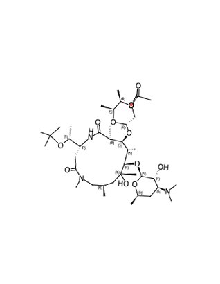 COC[C@H](O[C@H]1[C@H](C)[C@@H](O[C@@H]2O[C@H](C)C[C@H](N(C)C)[C@H]2O)[C@](C)(O)C[C@@H](C)CN(C)C(=O)C[C@H]([C@@H](C)OC(C)(C)C)NC(=O)[C@@H]1C)O[C@@H](C)[C@@H](C)OC(C)=O